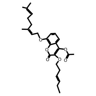 CCC=CCCOc1c(OC(C)=O)c2cccc(OCC=C(C)CCC=C(C)C)c2oc1=O